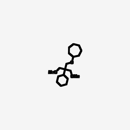 COCC(COC)(COC1CCCCCC1)C1CCCCC1